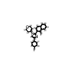 Fc1ccc(-c2cn(C3=CCOCC3)c(-c3ccc4ccccc4c3F)n2)cc1